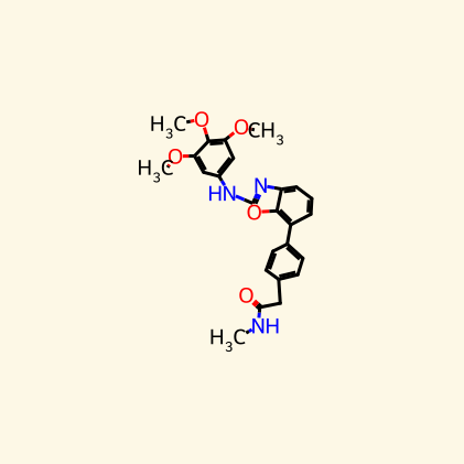 CNC(=O)Cc1ccc(-c2cccc3nc(Nc4cc(OC)c(OC)c(OC)c4)oc23)cc1